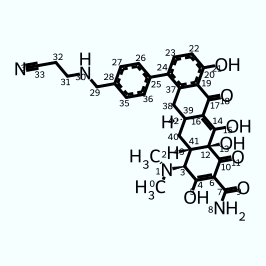 CN(C)[C@@H]1C(O)=C(C(N)=O)C(=O)[C@@]2(O)C(O)=C3C(=O)c4c(O)ccc(-c5ccc(CNCCC#N)cc5)c4C[C@@H]3C[C@@H]12